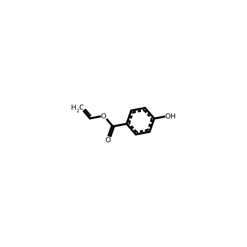 C=COC(=O)c1ccc(O)cc1